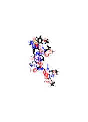 C=C(NCCC[C@@H](NC(=O)[C@H](CC(C)C)NC(=O)[C@@H](NC(=O)OC(C)(C)C)[C@H](O)C(C)C)C(=O)N[C@@H](C[Si](C)(C)C)C(=O)N[C@H](C(=O)NCC(=O)N[C@@H](COC(C)(C)C)C(=O)N[C@@H](COC(C)(C)C)C(=O)OC)[C@H](C)O)NS(=O)(=O)c1c(C)c(C)c2c(c1C)CCC(C)(C)O2